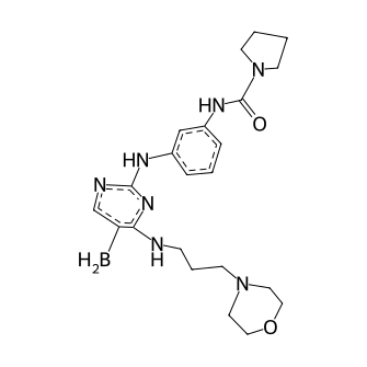 Bc1cnc(Nc2cccc(NC(=O)N3CCCC3)c2)nc1NCCCN1CCOCC1